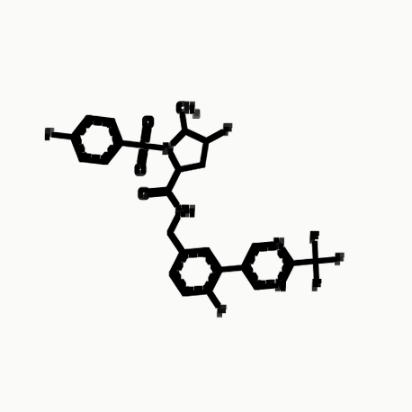 CC1C(F)CC(C(=O)NCc2ccc(F)c(-c3cnc(C(F)(F)F)nc3)c2)N1S(=O)(=O)c1ccc(F)cc1